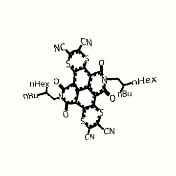 CCCCCCC(CCCC)Cn1c(=O)c2c3sc(C#N)c(C#N)sc3c3c(=O)n(CC(CCCC)CCCCCC)c(=O)c4c5sc(C#N)c(C#N)sc5c(c1=O)c2c34